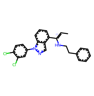 C/C=C(\NCCc1ccccc1)c1cccc2c1cnn2-c1ccc(Cl)c(Cl)c1